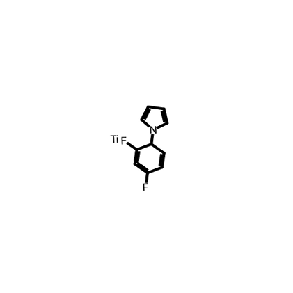 FC1=C=C(F)C(n2cccc2)C=C1.[Ti]